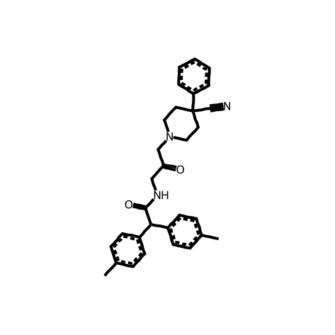 Cc1ccc(C(C(=O)NCC(=O)CN2CCC(C#N)(c3ccccc3)CC2)c2ccc(C)cc2)cc1